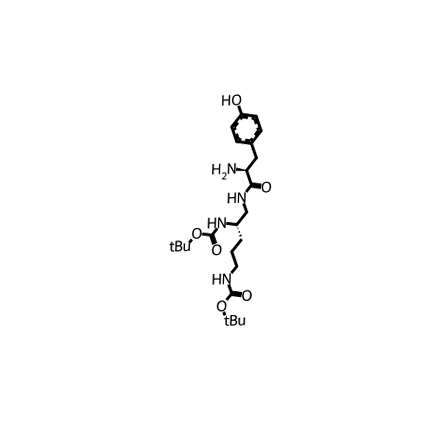 CC(C)(C)OC(=O)NCCC[C@@H](CNC(=O)[C@@H](N)Cc1ccc(O)cc1)NC(=O)OC(C)(C)C